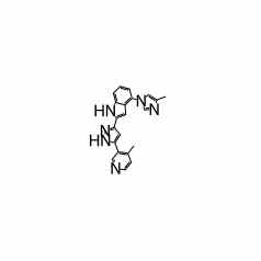 Cc1cn(-c2cccc3[nH]c(-c4cc(-c5cnccc5C)[nH]n4)cc23)cn1